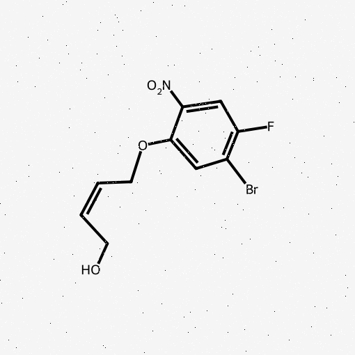 O=[N+]([O-])c1cc(F)c(Br)cc1OC/C=C\CO